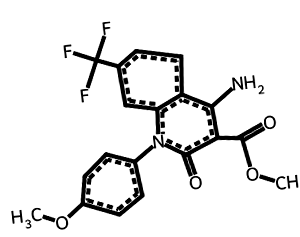 COC(=O)c1c(N)c2ccc(C(F)(F)F)cc2n(-c2ccc(OC)cc2)c1=O